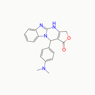 CN(C)c1ccc(C2C3=C(COC3=O)Nc3nc4ccccc4n32)cc1